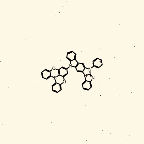 c1ccc(-n2c3cc4c5ccccc5n(-c5cc6c7c(c5)Oc5ccccc5B7c5ccccc5O6)c4cc3n3c4ccccc4nc23)cc1